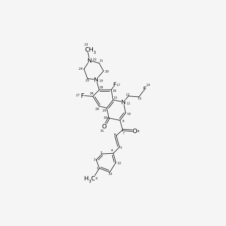 Cc1ccc(/C=C/C(=O)c2cn(CCF)c3c(F)c(N4CCN(C)CC4)c(F)cc3c2=O)cc1